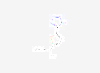 CCCCCC(CCC)c1ccc(-c2nnn[nH]2)o1